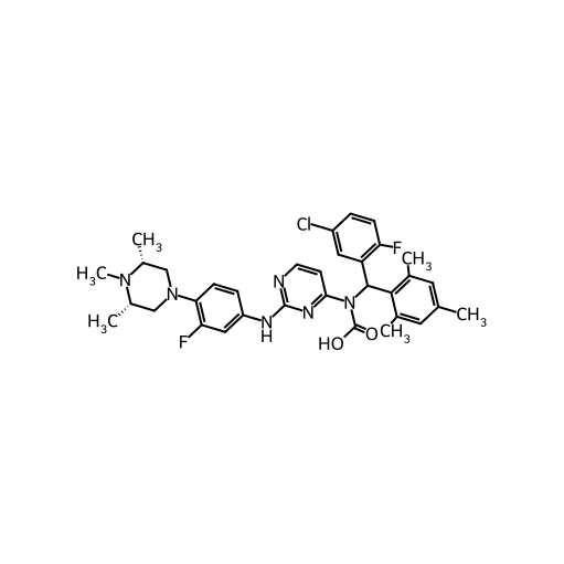 Cc1cc(C)c(C(c2cc(Cl)ccc2F)N(C(=O)O)c2ccnc(Nc3ccc(N4C[C@@H](C)N(C)[C@@H](C)C4)c(F)c3)n2)c(C)c1